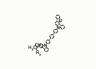 CC(C)(C)c1ccc2c(c1)c1ccccc1n2-c1ccc(-c2ccc(-c3ccc(-n4c5ccccc5c5c6oc7ccccc7c6ccc54)cc3)cc2)cc1